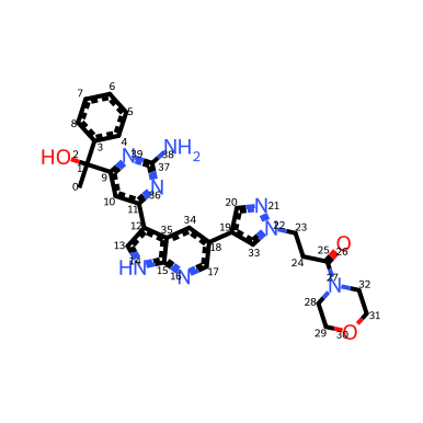 CC(O)(c1ccccc1)c1cc(-c2c[nH]c3ncc(-c4cnn(CCC(=O)N5CCOCC5)c4)cc23)nc(N)n1